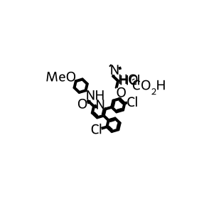 CO[C@H]1CC[C@H](NC(=O)c2ccc(-c3ccccc3Cl)c(-c3ccc(Cl)c(OCCCN(C)C)c3)n2)CC1.Cl.O=C(O)O